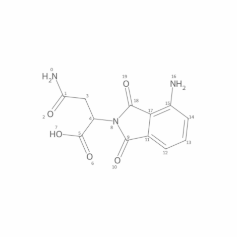 NC(=O)CC(C(=O)O)N1C(=O)c2cccc(N)c2C1=O